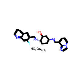 CC(=O)O.OC1C[C@@H](NCc2cccn3ccnc23)CC[C@@H]1NCc1cc2cccnc2cc1F